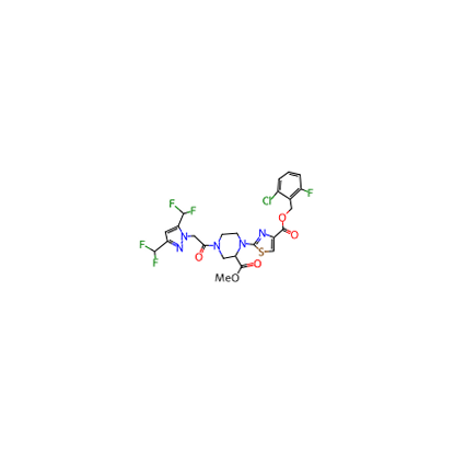 COC(=O)C1CN(C(=O)Cn2nc(C(F)F)cc2C(F)F)CCN1c1nc(C(=O)OCc2c(F)cccc2Cl)cs1